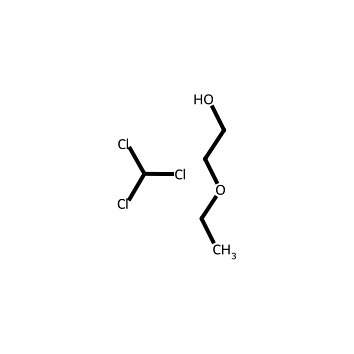 CCOCCO.ClC(Cl)Cl